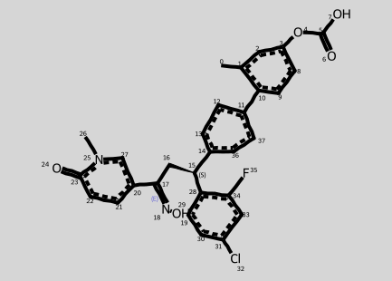 Cc1cc(OC(=O)O)ccc1-c1ccc([C@H](C/C(=N\O)c2ccc(=O)n(C)c2)c2ccc(Cl)cc2F)cc1